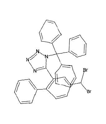 BrC(Br)c1ccc(-c2ccccc2)c(-c2nnnn2C(c2ccccc2)(c2ccccc2)c2ccccc2)c1